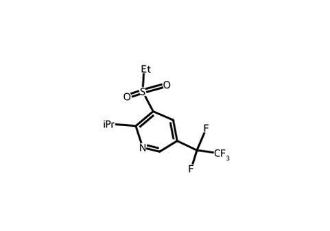 CCS(=O)(=O)c1cc(C(F)(F)C(F)(F)F)cnc1C(C)C